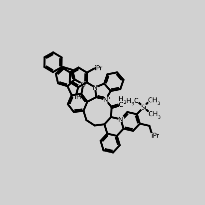 C=C1C2C(CCc3ccc4c(oc5ccccc54)c3-c3n(-c4c(C(C)C)cc(-c5ccccc5)cc4C(C)C)c4ccccc4[n+]31)c1ccccc1-c1cc(CC(C)C)c([Si](C)(C)C)c[n+]12